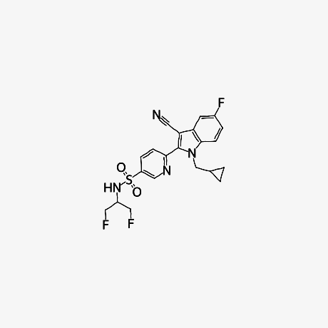 N#Cc1c(-c2ccc(S(=O)(=O)NC(CF)CF)cn2)n(CC2CC2)c2ccc(F)cc12